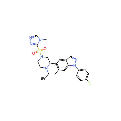 Cc1cc2c(cnn2-c2ccc(F)cc2)cc1[C@@H]1CN(S(=O)(=O)c2nncn2C)CCN1CC(C)C